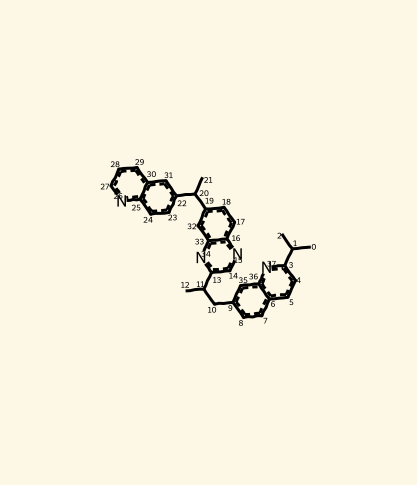 CC(C)c1ccc2ccc(CC(C)c3cnc4ccc(C(C)c5ccc6ncccc6c5)cc4n3)cc2n1